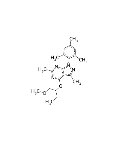 CCC(COC)Oc1nc(C)nc2c1c(C)nn2-c1c(C)cc(C)cc1C